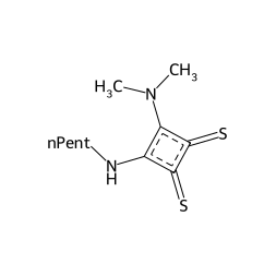 CCCCCNc1c(N(C)C)c(=S)c1=S